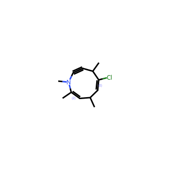 C/C1=C/C(C)/C=C(/Cl)C(C)C#CN1C